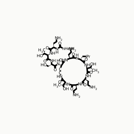 CCCCCCCC(=O)N[C@@H](CCN)C(=O)N[C@H](C(=O)N[C@@H](CO)C(=O)N[C@H]1CCNC(=O)[C@H]([C@@H](C)O)NC(=O)[C@H](CCN)NC(=O)[C@H](CCN)NC(=O)[C@H]([C@@H](C)O)NC(=O)[C@@H](CC(C)C)NC(=O)[C@H](CCN)NC1=O)[C@@H](C)O